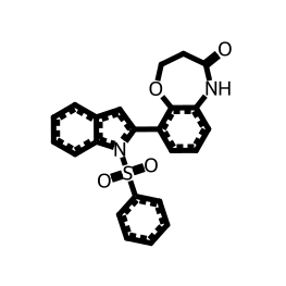 O=C1CCOc2c(cccc2-c2cc3ccccc3n2S(=O)(=O)c2ccccc2)N1